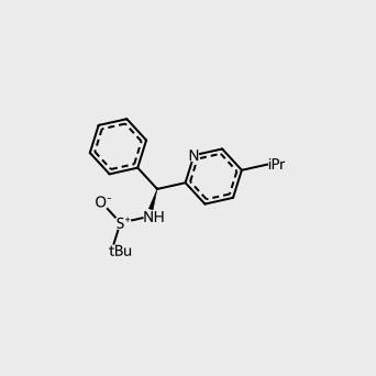 CC(C)c1ccc([C@@H](N[S+]([O-])C(C)(C)C)c2ccccc2)nc1